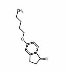 CCCCCOc1ccc2c(c1)CCC2=O